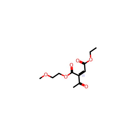 CCOC(=O)/C=C(/C(C)=O)C(=O)OCCOC